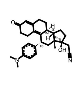 CN(C)c1ccc([C@H]2C[C@]3(C)[C@@H](CC[C@]3(O)CC#N)[C@@H]3CCC4=CC(=O)CCC4=C32)cc1